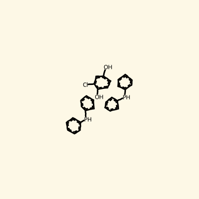 Oc1ccc(O)c(Cl)c1.c1ccc(Pc2ccccc2)cc1.c1ccc(Pc2ccccc2)cc1